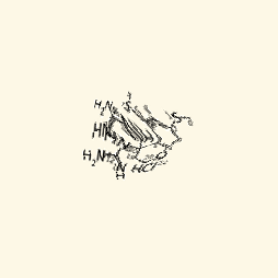 CSc1cc2c(c(SC)c1)C(NC(=N)N)(NC(=N)N)CCO2.Cl